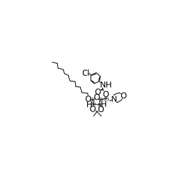 CCCCCCCCCCCCO[C@H]1O[C@H]([C@@H](CN2CCOCC2)OC(=O)Nc2ccc(Cl)cc2)[C@@H]2OC(C)(C)O[C@H]12